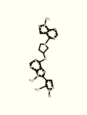 CCn1ncc(-c2nc3c(OC4CCN(c5ncnc6c5cnn6C)C4)ncnc3n2C)c1C